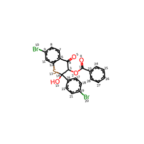 O=C(OC1C(=O)c2ccc(Br)cc2SC1(O)c1ccc(Br)cc1)c1ccccc1